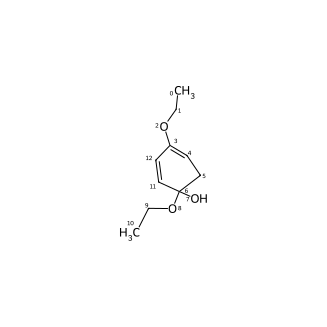 CCOC1=CCC(O)(OCC)C=C1